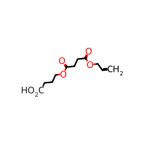 C=CCOC(=O)CCC(=O)OCCCC(=O)O